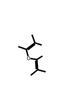 CC(C)=C(C)OC(C)=C(C)C